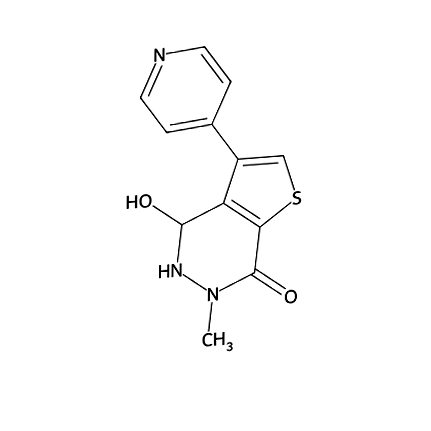 CN1NC(O)c2c(-c3ccncc3)csc2C1=O